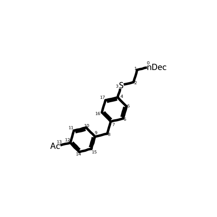 CCCCCCCCCCCCSc1ccc(Cc2ccc(C(C)=O)cc2)cc1